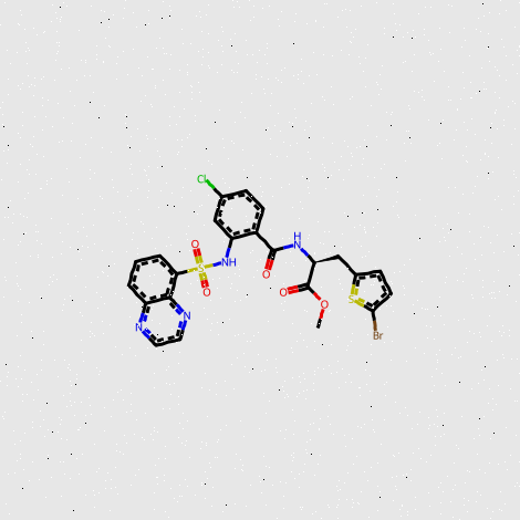 COC(=O)[C@H](Cc1ccc(Br)s1)NC(=O)c1ccc(Cl)cc1NS(=O)(=O)c1cccc2nccnc12